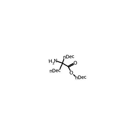 CCCCCCCCCCOC(=O)C(N)(CCCCCCCCCC)CCCCCCCCCC